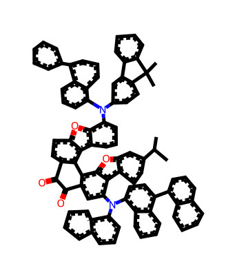 CC(C)c1ccc2c(c1)oc1c3c(cc(N(c4cccc5ccccc45)c4ccc(-c5cccc6ccccc56)c5ccccc45)c12)C(=O)C(=O)c1ccc2oc4c(N(c5ccc6c(c5)-c5ccccc5C6(C)C)c5cccc6c(-c7ccccc7)cccc56)cccc4c2c1-3